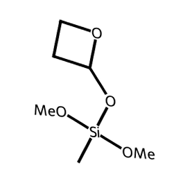 CO[Si](C)(OC)OC1CCO1